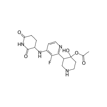 CC(=O)OC1(O)CCNCC1c1nccc(NC2CCC(=O)NC2=O)c1F